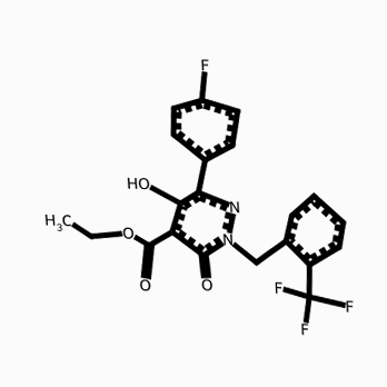 CCOC(=O)c1c(O)c(-c2ccc(F)cc2)nn(Cc2ccccc2C(F)(F)F)c1=O